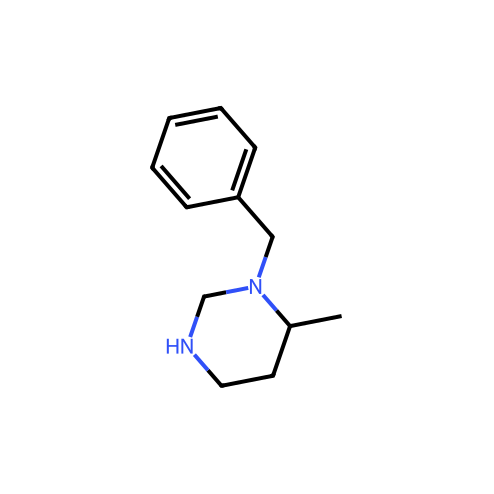 CC1CCNCN1Cc1ccccc1